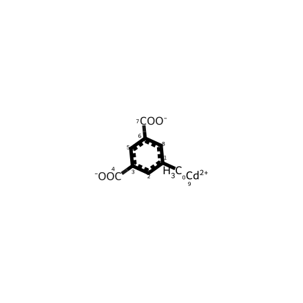 Cc1cc(C(=O)[O-])cc(C(=O)[O-])c1.[Cd+2]